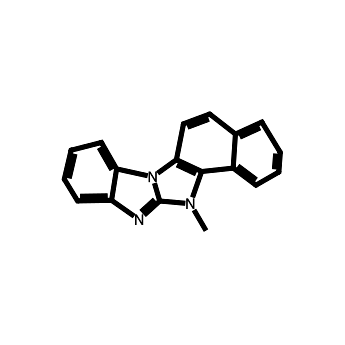 Cn1c2c3ccccc3ccc2n2c3ccccc3nc12